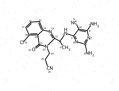 CC(Nc1nc(N)nc(N)c1C#N)c1nc2cccc(Cl)c2c(=O)n1CCC#N